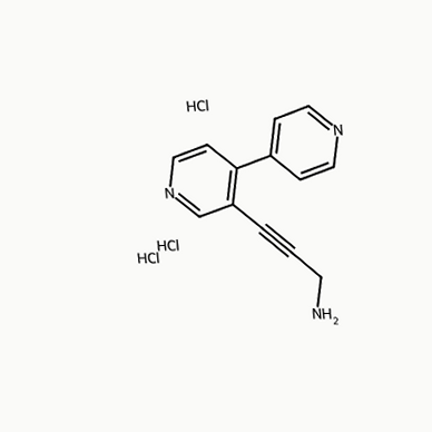 Cl.Cl.Cl.NCC#Cc1cnccc1-c1ccncc1